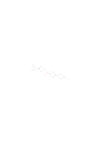 CCCCC1(C#N)CCC(OC(=O)C2CCC(C3CCC(CC)CC3)CC2)CC1